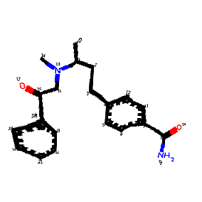 CC(CCc1ccc(C(N)=O)cc1)N(C)CC(=O)c1ccccc1